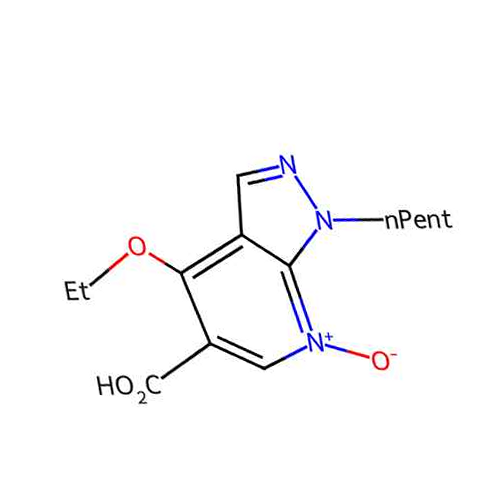 CCCCCn1ncc2c(OCC)c(C(=O)O)c[n+]([O-])c21